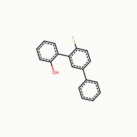 Oc1ccccc1-c1cc(-c2ccccc2)ccc1F